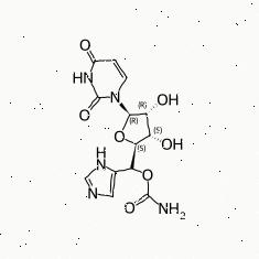 NC(=O)OC(c1cnc[nH]1)[C@H]1O[C@@H](n2ccc(=O)[nH]c2=O)[C@H](O)[C@@H]1O